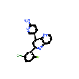 Nc1ccc(-c2cc(-c3cc(Cl)ccc3F)nc3cccnc23)cn1